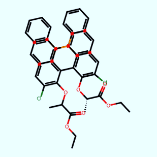 CCOC(=O)C(C)Oc1c(Cl)ccc(P(c2ccccc2)c2ccccc2)c1-c1c(P(c2ccccc2)c2ccccc2)ccc(Cl)c1O[C@@H](C)C(=O)OCC